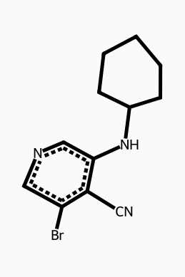 N#Cc1c(Br)cncc1NC1CCCCC1